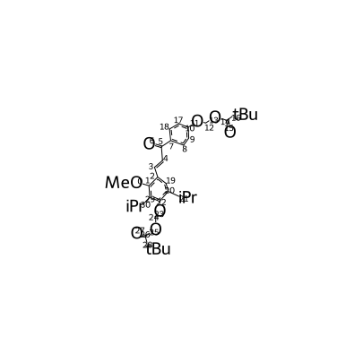 COc1c(C=CC(=O)c2ccc(OCOC(=O)C(C)(C)C)cc2)cc(C(C)C)c(OCOC(=O)C(C)(C)C)c1C(C)C